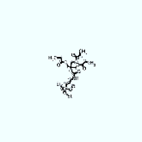 C=CC(=O)OCC(COC(=O)C=C)(COC(=O)C=C)OC(=O)NCCC[Si](OCC)(OCC)OCC